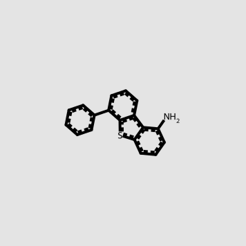 Nc1cccc2sc3c(-c4ccccc4)cccc3c12